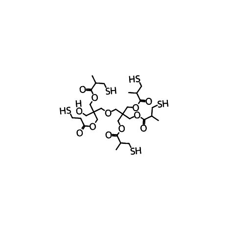 CC(CS)C(=O)OCC(CO)(COCC(COC(=O)C(C)CS)(COC(=O)C(C)CS)COC(=O)C(C)CS)COC(=O)CCS